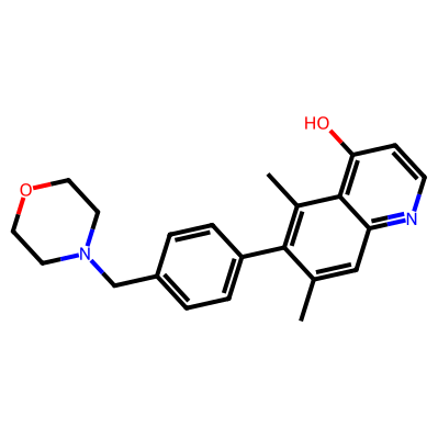 Cc1cc2nccc(O)c2c(C)c1-c1ccc(CN2CCOCC2)cc1